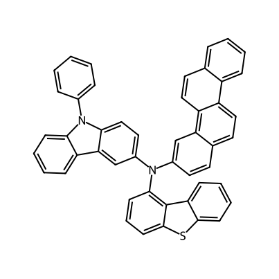 c1ccc(-n2c3ccccc3c3cc(N(c4ccc5ccc6c7ccccc7ccc6c5c4)c4cccc5sc6ccccc6c45)ccc32)cc1